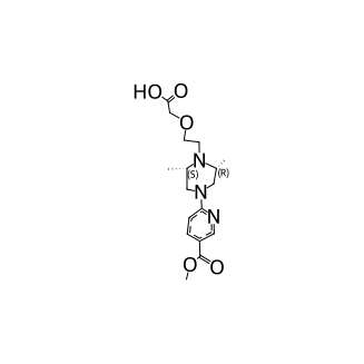 COC(=O)c1ccc(N2C[C@@H](C)N(CCOCC(=O)O)[C@@H](C)C2)nc1